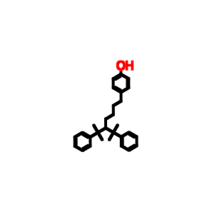 CC(C)(c1ccccc1)C(CCCCc1ccc(O)cc1)C(C)(C)c1ccccc1